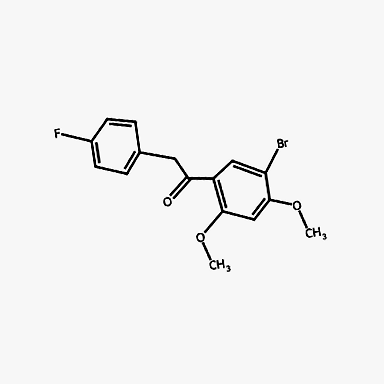 COc1cc(OC)c(C(=O)Cc2ccc(F)cc2)cc1Br